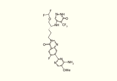 COc1cnc(-c2cc3ncn(CCC[C@H](COC(F)F)Nc4cn[nH]c(=O)c4C(F)(F)F)c(=O)c3cc2F)nc1N